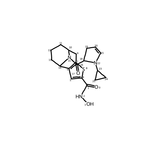 O=C(NO)c1cc2c(s1)CC1CCCC2N1C(=O)C1CC=CN1C1CC1